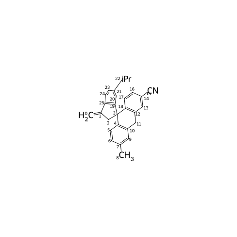 C=C1CC2(c3ccc(C)cc3Cc3cc(C#N)ccc32)c2cc(C(C)C)ccc21